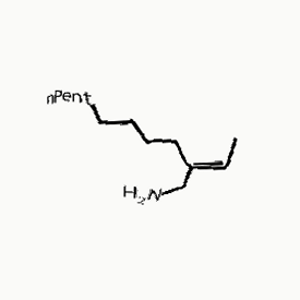 C/C=C(/CN)CCCCCCCCC